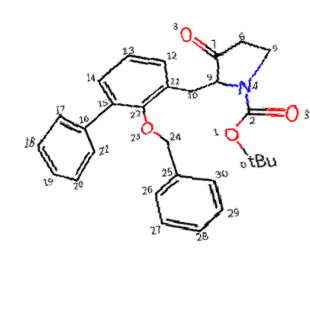 CC(C)(C)OC(=O)N1CCC(=O)C1Cc1cccc(-c2ccccc2)c1OCc1ccccc1